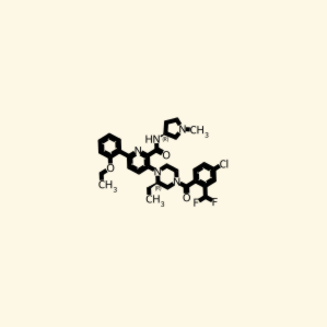 CCOc1ccccc1-c1ccc(N2CCN(C(=O)c3ccc(Cl)cc3C(F)F)C[C@H]2CC)c(C(=O)N[C@@H]2CCN(C)C2)n1